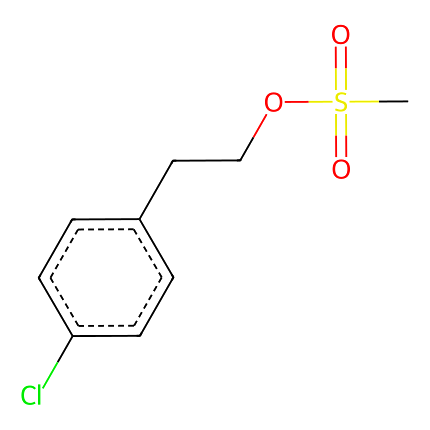 CS(=O)(=O)OCCc1ccc(Cl)cc1